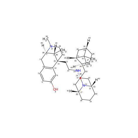 C[C@H]1[C@H]2Cc3ccc(O)cc3[C@@]1(CCN[C@H]1C[C@H]3CCC[C@@H](C1)N3CC[C@@H]1CC[C@H]3C[C@@H]1C3(C)C)CCN2C